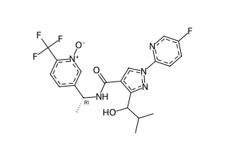 CC(C)C(O)c1nn(-c2ccc(F)cn2)cc1C(=O)N[C@H](C)c1ccc(C(F)(F)F)[n+]([O-])c1